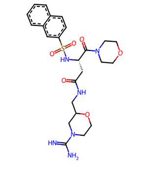 N=C(N)N1CCOC(CNC(=O)C[C@H](NS(=O)(=O)c2ccc3ccccc3c2)C(=O)N2CCOCC2)C1